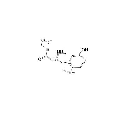 NC(CC(=O)OCC(=O)O)c1c[nH]c2ccc(O)cc12